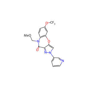 COCN1C(=O)c2nn(-c3cccnc3)cc2Oc2cc(OC(F)(F)F)ccc21